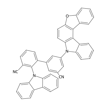 N#Cc1cc(-c2cccc(C#N)c2-n2c3ccccc3c3ccccc32)cc(-n2c3ccccc3c3c4c(ccc32)oc2ccccc24)c1